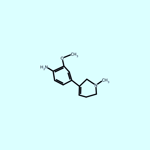 COc1cc(C2=CCCN(C)C2)ccc1N